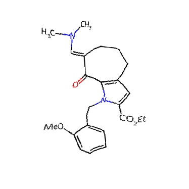 CCOC(=O)c1cc2c(n1Cc1ccccc1OC)C(=O)C(=CN(C)C)CCC2